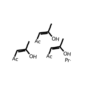 CC(=O)C=C(C)O.CC(=O)C=C(C)O.CC(=O)C=C(C)O.[Pr]